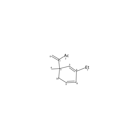 C=C(C(C)=O)C1(C)C=C(CC)C=CC1